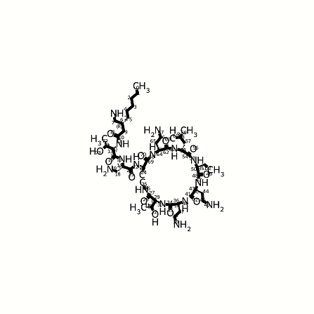 CCCCCC[C@@H](CN)CC(=O)N[C@H](C(=O)N[C@@H](CN)C(=O)N[C@H]1CCNC(=O)[C@H]([C@@H](C)O)NC(=O)[C@H](CCN)NC(=O)[C@H](CCN)NC(=O)[C@H](CC)NC(=O)[C@@H](CC(C)C)NC(=O)[C@H](CCN)NC1=O)[C@@H](C)O